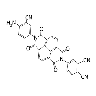 N#Cc1cc(N2C(=O)c3ccc4c5c(ccc(c35)C2=O)C(=O)N(c2ccc(C#N)c(C#N)c2)C4=O)ccc1N